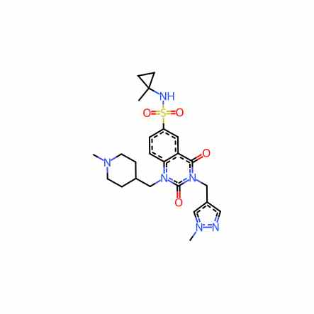 CN1CCC(Cn2c(=O)n(Cc3cnn(C)c3)c(=O)c3cc(S(=O)(=O)NC4(C)CC4)ccc32)CC1